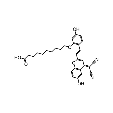 N#CC(C#N)=C1C=C(C=Cc2ccc(O)cc2OCCCCCCCCCC(=O)O)Oc2ccc(O)cc21